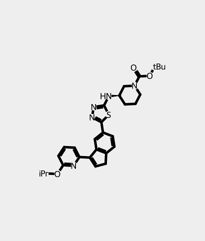 CC(C)Oc1cccc(C2=CCc3ccc(-c4nnc(N[C@@H]5CCCN(C(=O)OC(C)(C)C)C5)s4)cc32)n1